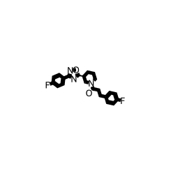 O=C(CCc1ccc(F)cc1)N1CCC[C@H](c2nc(-c3ccc(F)cc3)no2)C1